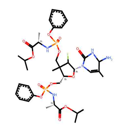 CC1=CN([C@@H]2O[C@H](COP(=O)(N[C@@H](C)C(=O)OC(C)C)Oc3ccccc3)C(C)(COP(=O)(N[C@@H](C)C(=O)OC(C)C)Oc3ccccc3)C2F)C(=O)NC1N